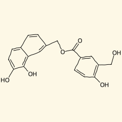 O=C(OCc1ccc2ccc(O)c(O)c2c1)c1ccc(O)c(CO)c1